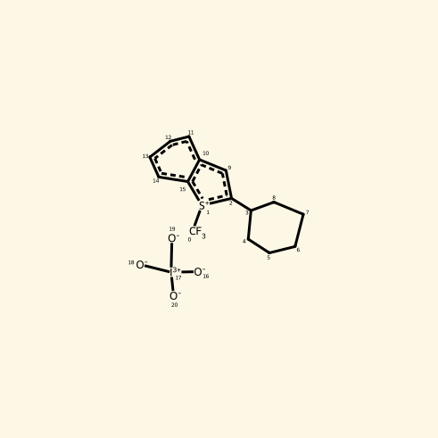 FC(F)(F)[s+]1c(C2CCCCC2)cc2ccccc21.[O-][I+3]([O-])([O-])[O-]